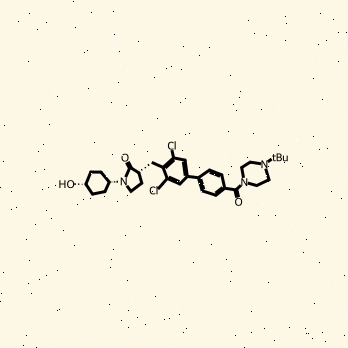 CC(C)(C)N1CCN(C(=O)c2ccc(-c3cc(Cl)c(C[C@@H]4CCN([C@H]5CC[C@@H](O)CC5)C4=O)c(Cl)c3)cc2)CC1